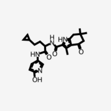 Cc1c(C(=O)NC(CCC2CC2)C(=O)Nc2ccc(O)nc2)[nH]c2c1C(=O)CC(C)(C)C2